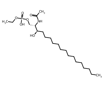 CCCCCCCCCCCCCCC[C@@H](O)[C@H](COP(=O)(O)OCC)NC(C)=O